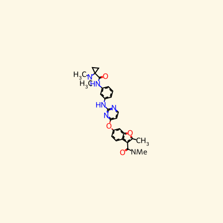 CNC(=O)c1c(C)oc2cc(Oc3ccnc(Nc4cccc(NC(=O)C5(N(C)C)CC5)c4)n3)ccc12